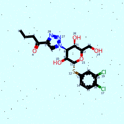 CCCC(=O)c1cn([C@@H]2C(O)[C@@H](Sc3ccc(Cl)c(Cl)c3)OC(CO)[C@@H]2O)nn1